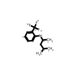 CC(C)CC(C)[N]c1ccccc1C(F)(F)F